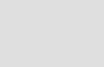 N=C(NO)c1cccc2c1CC1OC(=O)N(CCOCc3ccccc3)C21